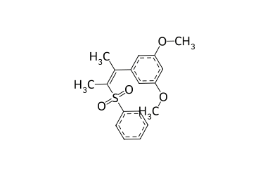 COc1cc(OC)cc(C(C)=C(C)S(=O)(=O)c2ccccc2)c1